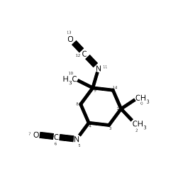 CC1(C)CC(N=C=O)CC(C)(N=C=O)C1